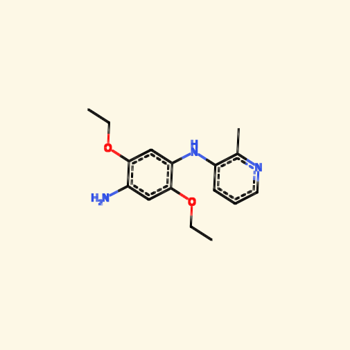 CCOc1cc(Nc2cccnc2C)c(OCC)cc1N